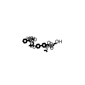 CC(C)Sc1cc(-c2ccc(OC(CN(C[C@H](O)c3ccccc3)C(=O)O)C(C)(C)C)cc2)ccc1C(=O)NS(=O)(=O)CCCO